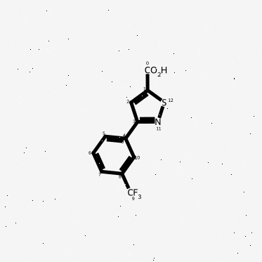 O=C(O)c1cc(-c2cccc(C(F)(F)F)c2)ns1